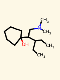 CCC(CC)C(CN(C)C)C1(O)CCCCC1